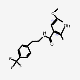 CO/C(C)=C/C(C(=O)NCCc1ccc(C(F)(F)F)cc1)=C(/C)O